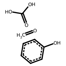 C=O.O=C(O)O.Oc1ccccc1